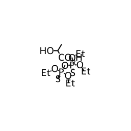 CC(O)C(=O)O.CCOP(=S)(OCC)OP(=S)(OCC)OCC